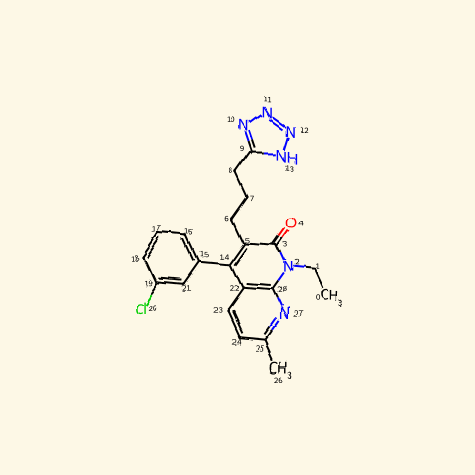 CCn1c(=O)c(CCCc2nnn[nH]2)c(-c2cccc(Cl)c2)c2ccc(C)nc21